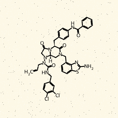 C=CCN(C(=O)NCc1ccc(Cl)c(Cl)c1)N1CC(=O)N2[C@@H](Cc3ccc(NC(=O)c4ccccc4)cc3)C(=O)N(Cc3cccc4sc(N)nc34)C[C@@H]21